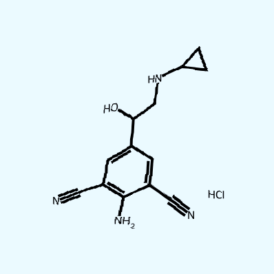 Cl.N#Cc1cc(C(O)CNC2CC2)cc(C#N)c1N